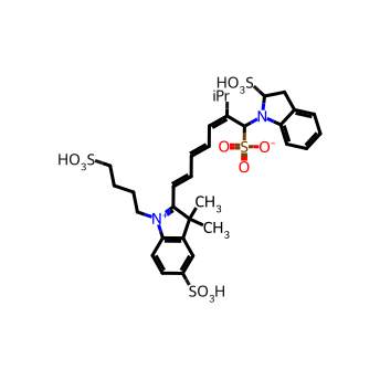 CC(C)C(=CC=CC=CC1=[N+](CCCCS(=O)(=O)O)c2ccc(S(=O)(=O)O)cc2C1(C)C)C(N1c2ccccc2CC1S(=O)(=O)O)S(=O)(=O)[O-]